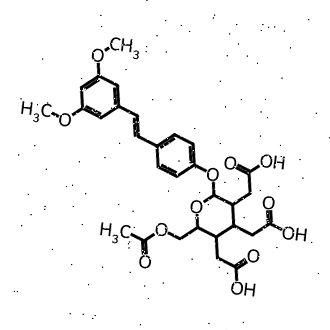 COc1cc(C=Cc2ccc(OC3OC(COC(C)=O)C(CC(=O)O)C(CC(=O)O)C3CC(=O)O)cc2)cc(OC)c1